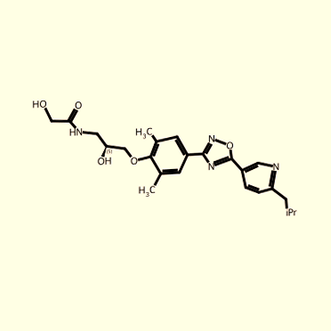 Cc1cc(-c2noc(-c3ccc(CC(C)C)nc3)n2)cc(C)c1OC[C@@H](O)CNC(=O)CO